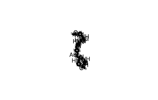 C=CC(=O)Nc1cccc(Nc2nc(Nc3cnn(C)c3)ncc2CN(Cc2ccc(Cn3cc(Nc4nnc(Cl)c(Nc5cccc(NC(=O)C=C)c5)n4)cn3)cc2)C(C)=O)c1